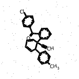 C#CC1(c2ccccc2C(=O)c2ccc(Cl)cc2)C=CC=CC1c1ccc(C)cc1